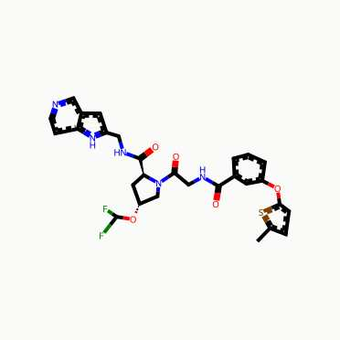 Cc1ccc(Oc2cccc(C(=O)NCC(=O)N3C[C@H](OC(F)F)C[C@H]3C(=O)NCc3cc4cnccc4[nH]3)c2)s1